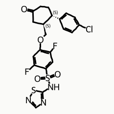 O=C1CC[C@H](c2ccc(Cl)cc2)[C@@H](COc2cc(F)c(S(=O)(=O)Nc3ncns3)cc2F)C1